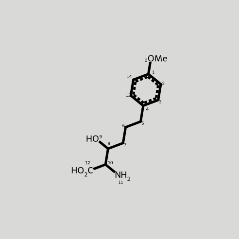 COc1ccc(CCCC(O)C(N)C(=O)O)cc1